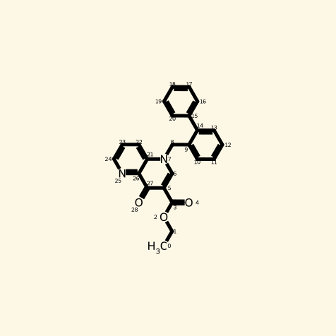 CCOC(=O)c1cn(Cc2ccccc2-c2ccccc2)c2cccnc2c1=O